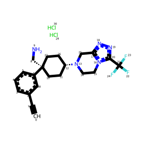 C#Cc1cccc([C@]2(CN)CC[C@@H](N3CCn4c(nnc4C(F)(F)F)C3)CC2)c1.Cl.Cl